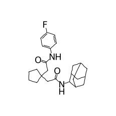 O=C(CC1(CC(=O)NC2C3CC4CC(C3)CC2C4)CCCC1)Nc1ccc(F)cc1